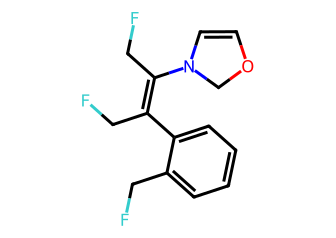 FCC(=C(CF)N1C=COC1)c1ccccc1CF